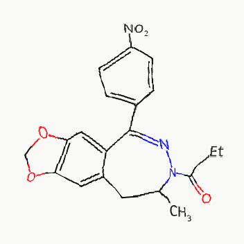 CCC(=O)N1N=C(c2ccc([N+](=O)[O-])cc2)c2cc3c(cc2CC1C)OCO3